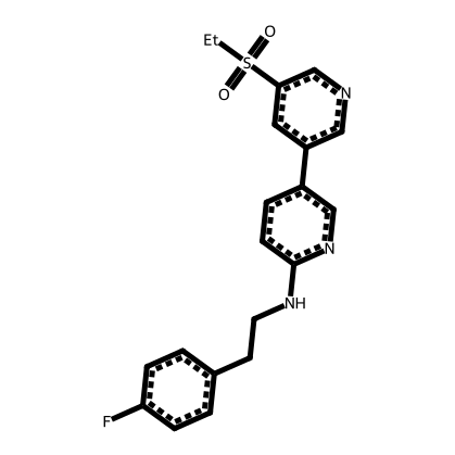 CCS(=O)(=O)c1cncc(-c2ccc(NCCc3ccc(F)cc3)nc2)c1